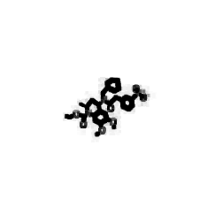 CCOC(=O)N1c2cc(OC)c(OC)cc2[C@H](N(Cc2ccccc2)C(=O)Cc2cccc([N+](=O)[O-])c2)C[C@@H]1C